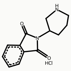 Cl.O=C1c2ccccc2C(=O)N1C1CCCNC1